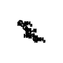 N#Cc1nc(N2CCC3(CC2)Cc2ncccc2[C@H]3N)nc2[nH]nc(Sc3ccnc(N)n3)c12